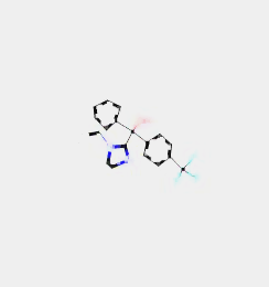 C=Cn1ccnc1C(O)(c1ccccc1)c1ccc(C(F)(F)F)cc1